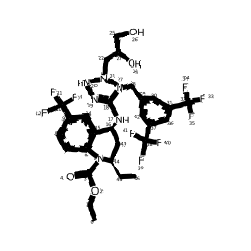 CCOC(=O)N1c2ccc(C(F)(F)F)cc2[C@@H](NC2=NNN(CC(O)CO)N2Cc2cc(C(F)(F)F)cc(C(F)(F)F)c2)C[C@H]1CC